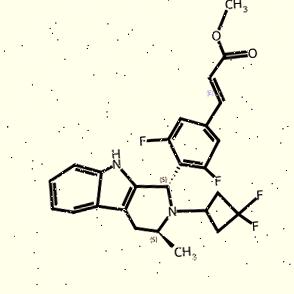 COC(=O)/C=C/c1cc(F)c([C@H]2c3[nH]c4ccccc4c3C[C@H](C)N2C2CC(F)(F)C2)c(F)c1